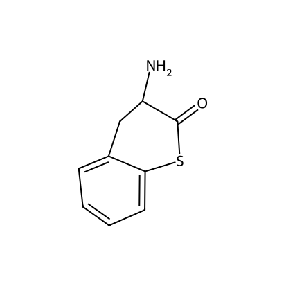 NC1Cc2ccccc2SC1=O